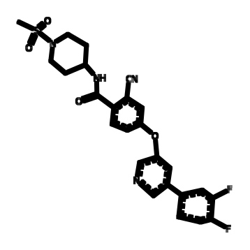 CS(=O)(=O)N1CCC(NC(=O)c2ccc(Oc3cncc(-c4ccc(F)c(F)c4)c3)cc2C#N)CC1